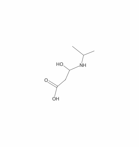 CC(C)NC(O)CC(=O)O